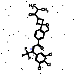 CC(C)C(=O)N1CC2(C1)OCc1cc(C(=O)/C=C(\c3cc(Cl)c(Cl)c(Cl)c3)C(F)(F)F)ccc12